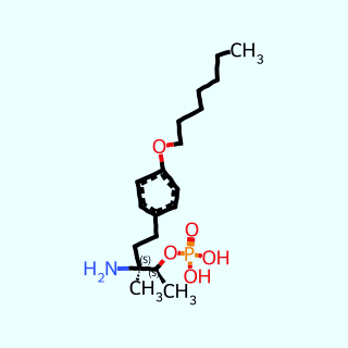 CCCCCCCOc1ccc(CC[C@](C)(N)[C@H](C)OP(=O)(O)O)cc1